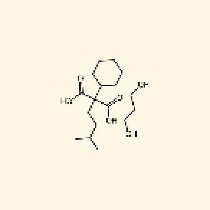 CC(C)CCC(C(=O)O)(C(=O)O)C1CCCCC1.OCCCO